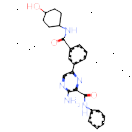 Nc1ncc(-c2cccc(C(=O)NC3CCC(O)CC3)c2)nc1C(=O)Nc1ccccc1